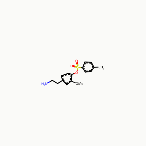 COc1cc(CCN)ccc1OS(=O)(=O)c1ccc(C)cc1